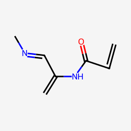 C=CC(=O)NC(=C)C=NC